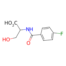 O=C(NC(CO)C(=O)O)c1ccc(F)cc1